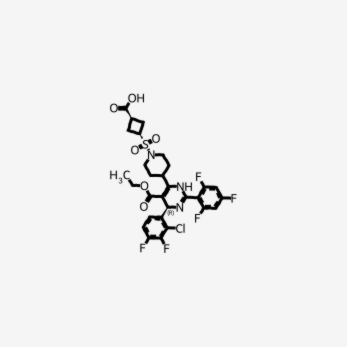 CCOC(=O)C1=C(C2CCN(S(=O)(=O)[C@H]3C[C@H](C(=O)O)C3)CC2)NC(c2c(F)cc(F)cc2F)=N[C@H]1c1ccc(F)c(F)c1Cl